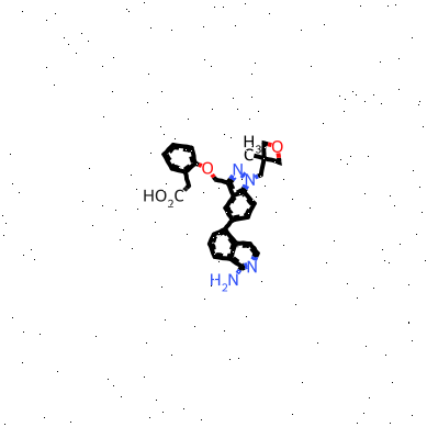 CC1(Cn2nc(COc3ccccc3CC(=O)O)c3cc(-c4cccc5c(N)nccc45)ccc32)COC1